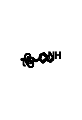 CN(C)S(=O)(=O)CCc1ccc2[nH]ccc2c1